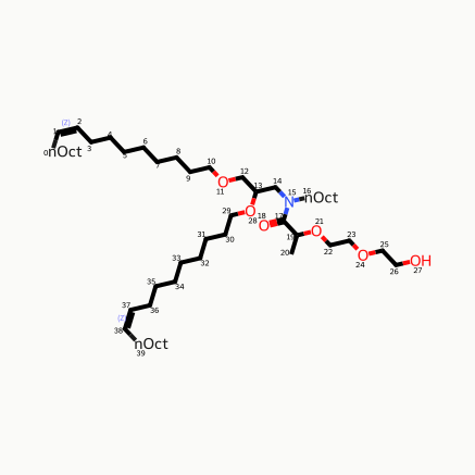 CCCCCCCC/C=C\CCCCCCCCOCC(CN(CCCCCCCC)C(=O)C(C)OCCOCCO)OCCCCCCCC/C=C\CCCCCCCC